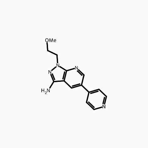 COCCn1nc(N)c2cc(-c3ccncc3)cnc21